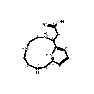 O=C(O)CC1NCCNCCNCc2cccc1n2